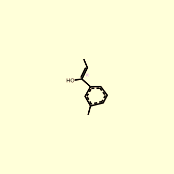 C/C=C(\O)c1cccc(C)c1